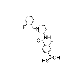 O=C(N[C@H]1CCCN(Cc2ccccc2F)C1)c1ccc(B(O)O)cc1F